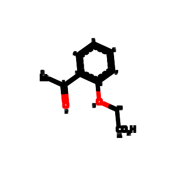 CCC(=O)c1ccccc1OCC(=O)O